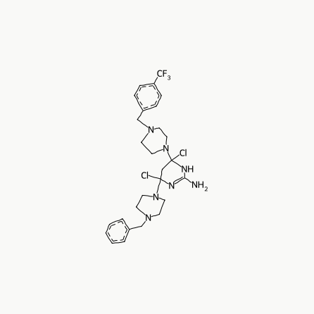 NC1=NC(Cl)(N2CCN(Cc3ccccc3)CC2)CC(Cl)(N2CCN(Cc3ccc(C(F)(F)F)cc3)CC2)N1